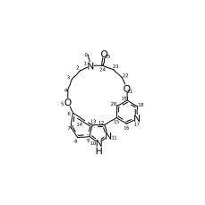 CN1CCCOc2ccc3[nH]nc(c3c2)-c2cncc(c2)OCCC1=O